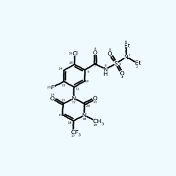 CCN(CC)S(=O)(=O)NC(=O)c1cc(-n2c(=O)cc(C(F)(F)F)n(C)c2=O)c(F)cc1Cl